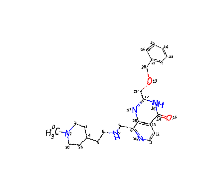 CN1CCC(CCNCc2nccc3c(=O)[nH]c(COCc4ccccc4)nc23)CC1